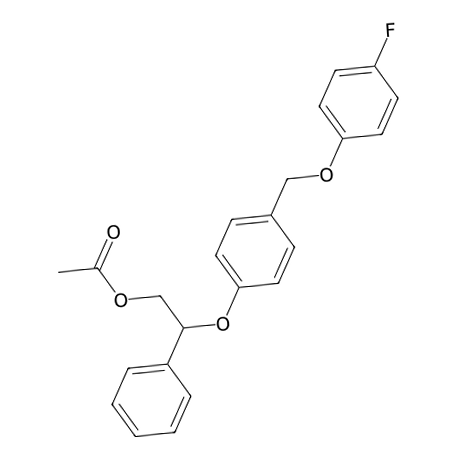 CC(=O)OCC(Oc1ccc(COc2ccc(F)cc2)cc1)c1ccccc1